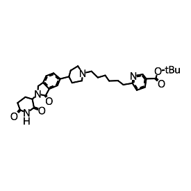 CC(C)(C)OC(=O)c1ccc(CCCCCCN2CCC(c3ccc4c(c3)C(=O)N(C3CCC(=O)NC3=O)C4)CC2)nc1